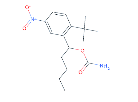 CCCCC(OC(N)=O)c1cc([N+](=O)[O-])ccc1C(C)(C)C